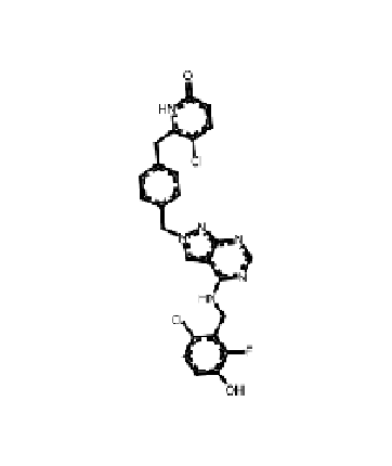 O=c1ccc(Cl)c(Cc2ccc(Cn3cc4c(NCc5c(Cl)ccc(O)c5F)ncnc4n3)cc2)[nH]1